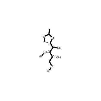 CC1OC[C@@H]([C@@H](O)[C@H](OBr)[C@H](O)COBr)O1